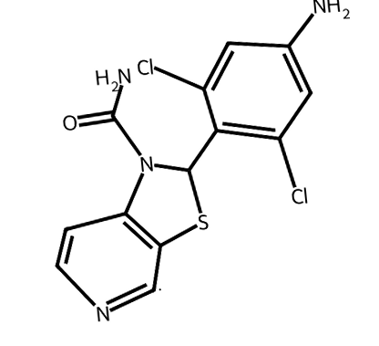 NC(=O)N1c2ccn[c]c2SC1c1c(Cl)cc(N)cc1Cl